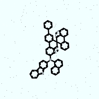 c1ccc(-c2ccc3c(c2)C2(c4ccccc4-c4cccc5cccc2c45)c2cccc4c(N(c5ccc6c(c5)sc5ccccc56)c5cccc6ccccc56)ccc-3c24)cc1